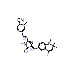 CC1=CC(C)(C)N(C)c2ccc(/C=C3N=C(/C=C/C4=CC(C)C(C#N)C=C4)N(C)C\3=O)cc21